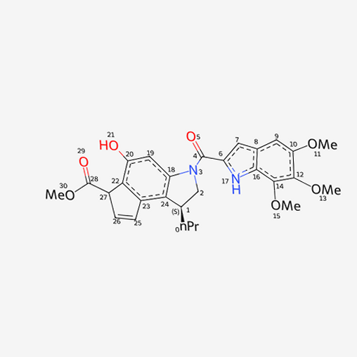 CCC[C@@H]1CN(C(=O)c2cc3cc(OC)c(OC)c(OC)c3[nH]2)c2cc(O)c3c(c21)C=CC3C(=O)OC